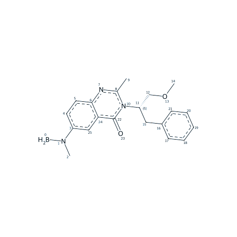 BN(C)c1ccc2nc(C)n([C@H](COC)Cc3ccccc3)c(=O)c2c1